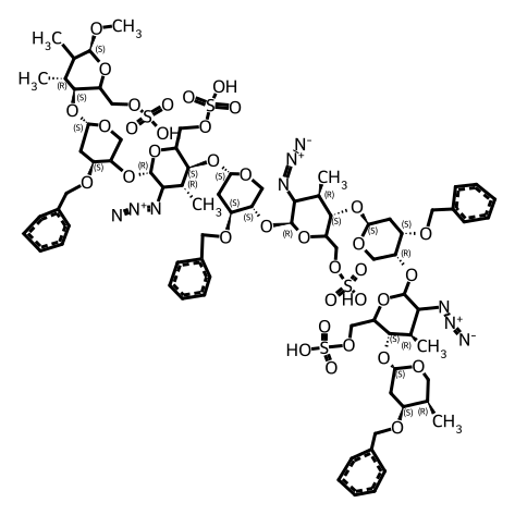 CO[C@H]1OC(COS(=O)(=O)O)[C@@H](O[C@H]2C[C@H](OCc3ccccc3)C(O[C@@H]3OC(COS(=O)(=O)O)[C@@H](O[C@H]4C[C@H](OCc5ccccc5)[C@@H](O[C@@H]5OC(COS(=O)(=O)O)[C@@H](O[C@H]6C[C@H](OCc7ccccc7)[C@H](OC7OC(COS(=O)(=O)O)[C@@H](O[C@H]8C[C@H](OCc9ccccc9)[C@H](C)CO8)[C@H](C)C7N=[N+]=[N-])CO6)[C@H](C)C5N=[N+]=[N-])CO4)[C@H](C)C3N=[N+]=[N-])CO2)[C@H](C)C1C